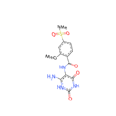 CNS(=O)(=O)c1ccc(C(=O)Nc2c(N)[nH]c(=O)[nH]c2=O)c(OC)c1